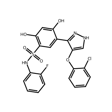 O=S(=O)(Nc1ccccc1F)c1cc(-c2n[nH]cc2Oc2ccccc2Cl)c(O)cc1O